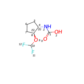 O=C(O)N[C@H]1CCC[C@@H]1OC(F)F